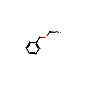 COCOCc1c[c]ccc1